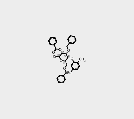 Cc1ccc(C(C)(C)C)cc1O[C@H]1[C@H](OCc2ccccc2)[C@@H](OC(=O)c2ccccc2)[C@H](S)O[C@@H]1COCc1ccccc1